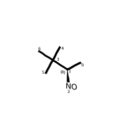 C[C@@H](N=O)C(C)(C)C